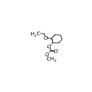 CCOC1CCCCC1OC(=O)OC